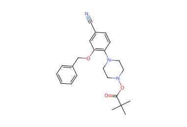 CC(C)(C)C(=O)ON1CCN(c2ccc(C#N)cc2OCc2ccccc2)CC1